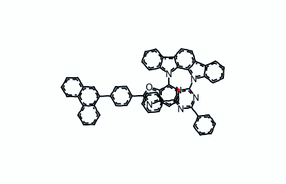 c1ccc(-c2nc(-c3ccccc3)nc(-n3c4ccccc4c4ccc5c6ccccc6n(-c6cccc7nc(-c8ccc(-c9cc%10ccccc%10c%10ccccc9%10)cc8)oc67)c5c43)n2)cc1